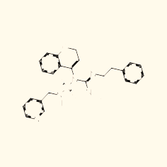 NC(=NCCc1ccccc1)N(C1=CCOc2ccccc21)S(=O)(=O)NCc1cccnc1